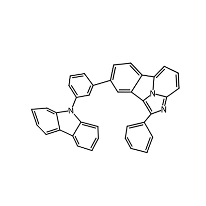 c1ccc(-c2nc3cccc4c5ccc(-c6cccc(-n7c8ccccc8c8ccccc87)c6)cc5c2n34)cc1